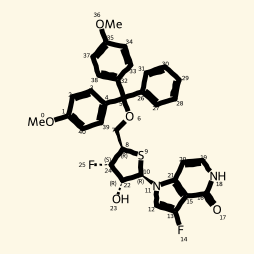 COc1ccc(C(OC[C@H]2S[C@@H](n3cc(F)c4c(=O)[nH]ccc43)[C@H](O)[C@@H]2F)(c2ccccc2)c2ccc(OC)cc2)cc1